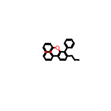 CCCc1[c]cc(-c2ccccc2)c(Oc2ccccc2)c1-c1ccccc1